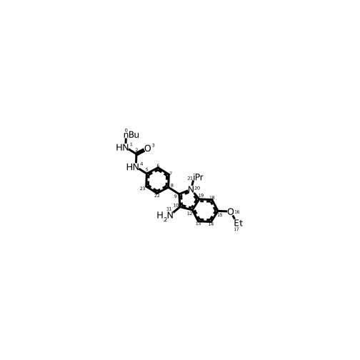 CCCCNC(=O)Nc1ccc(-c2c(N)c3ccc(OCC)cc3n2C(C)C)cc1